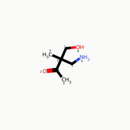 CC(=O)C(C)(CN)CO